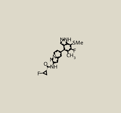 CSc1c(F)c(C)c(-c2ccn3nc(NC(=O)[C@@H]4C[C@H]4F)cc3c2)c2cn[nH]c12